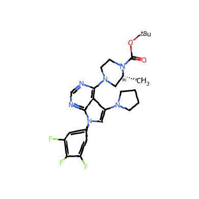 C[C@@H]1CN(c2ncnc3c2c(N2CCCC2)cn3-c2cc(F)c(F)c(F)c2)CCN1C(=O)OC(C)(C)C